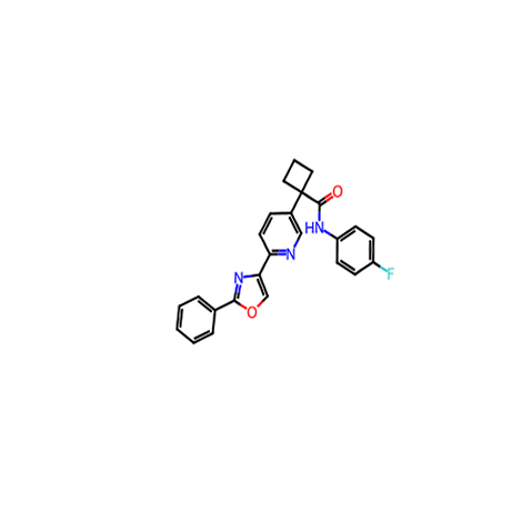 O=C(Nc1ccc(F)cc1)C1(c2ccc(-c3coc(-c4ccccc4)n3)nc2)CCC1